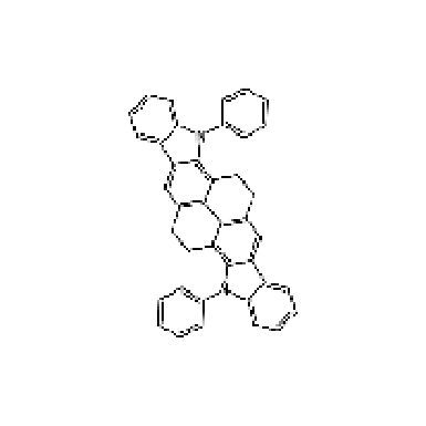 c1ccc(-n2c3ccccc3c3cc4c5c(c32)CCc2cc3c6ccccc6n(-c6ccccc6)c3c(c2-5)CC4)cc1